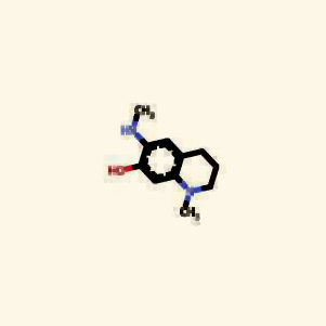 CNc1cc2c(cc1O)N(C)CCC2